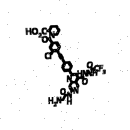 NCC(=O)Nc1cc2nc(-c3ccc(C#Cc4ccc(C(=O)N5CCCCC5C(=O)O)cc4Cl)cc3)cc(C(=O)NNC(=O)C(F)(F)F)c2cn1